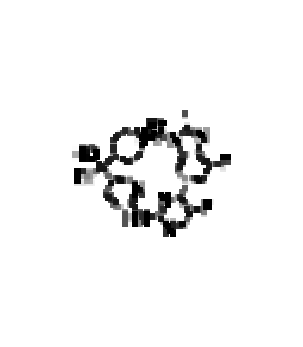 CCN1CCC(C(O)(CC)c2ccc(Nc3ncc(F)c(-c4cc(F)c5nc(C)n(C(C)C)c5c4)n3)nc2)CC1